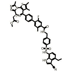 CCc1ccc(NS(=O)(=O)c2ccc(CNC(=O)c3cc(F)c(-c4ccc(C5=N[C@@H](CC(=O)OC)c6nnc(C)n6-c6sc(C)c(C)c65)cc4)cc3C)cc2)c2[nH]cc(C#N)c12